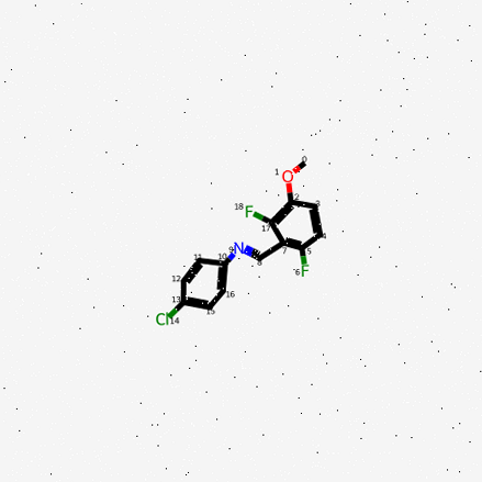 COc1ccc(F)c(/C=N/c2ccc(Cl)cc2)c1F